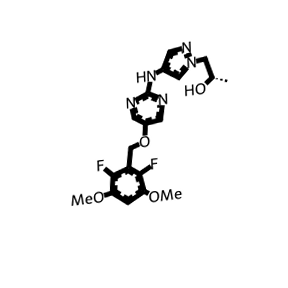 COc1cc(OC)c(F)c(COc2cnc(Nc3cnn(C[C@H](C)O)c3)nc2)c1F